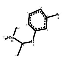 CC(Oc1cccc(Br)c1)[SiH](C)C